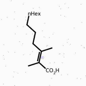 CCCCCCCCC/C(C)=C(\C)C(=O)O